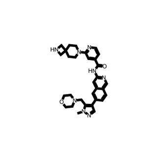 Cn1ncc(-c2ccc3cnc(NC(=O)c4ccnc(N5CCC6(CC5)CNC6)c4)cc3c2)c1CN1CCOCC1